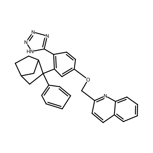 c1ccc(C2(c3cc(OCc4ccc5ccccc5n4)ccc3-c3nnn[nH]3)CC3CCC2C3)cc1